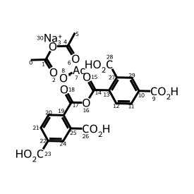 CC(=O)OC(C)=O.CC(=O)[O-].O=C(O)c1ccc(C(=O)OC(=O)c2ccc(C(=O)O)cc2C(=O)O)c(C(=O)O)c1.[Na+]